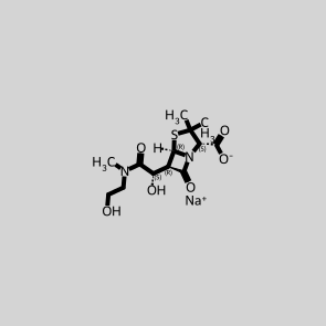 CN(CCO)C(=O)[C@@H](O)[C@@H]1C(=O)N2[C@@H]1SC(C)(C)[C@@H]2C(=O)[O-].[Na+]